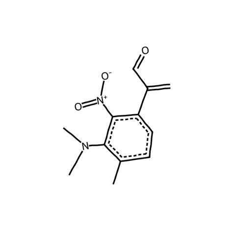 C=C(C=O)c1ccc(C)c(N(C)C)c1[N+](=O)[O-]